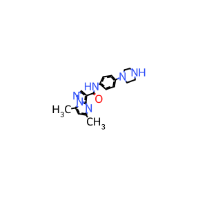 Cc1cc(C)n2ncc(C(=O)Nc3ccc(N4CCNCC4)cc3)c2n1